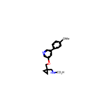 COc1ccc(-c2cncc(OCC3(CNC(=O)O)CC3)c2)cc1